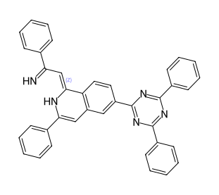 N=C(/C=C1\NC(c2ccccc2)=Cc2cc(-c3nc(-c4ccccc4)nc(-c4ccccc4)n3)ccc21)c1ccccc1